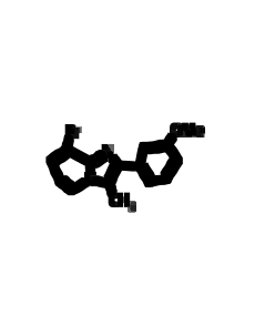 COc1cccc(-c2nc3c(Br)cccn3c2C)c1